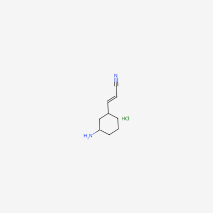 Cl.N#CC=CC1CCCC(N)C1